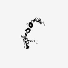 CN(CCOc1ccc(N2CCN(CCNc3nc(N)n4nc(-c5ccco5)nc4n3)CC2)c(F)c1)CC(N)=O